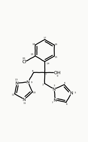 OC(Cn1cncn1)(Cn1cncn1)c1ccccc1Cl